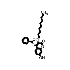 CCCCCCCCCCOc1c(OC(=O)c2ccccc2)c2ccc(O)cc2oc1=O